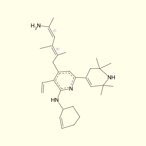 C=Cc1c(C/C(C)=C(C)/C=C(/C)N)cc(C2=CC(C)(C)NC(C)(C)C2)nc1NC1C=CCCC1